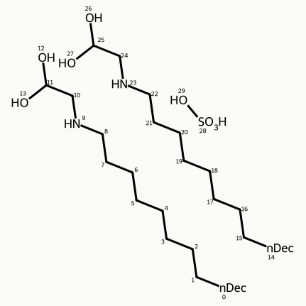 CCCCCCCCCCCCCCCCCCNCC(O)O.CCCCCCCCCCCCCCCCCCNCC(O)O.O=S(=O)(O)O